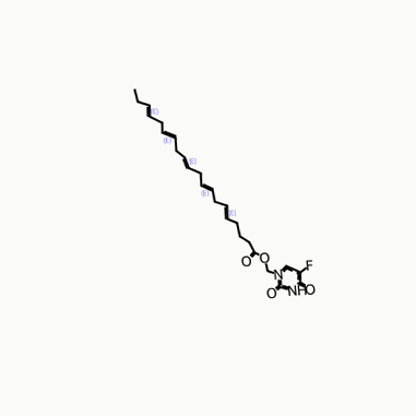 CC/C=C/C/C=C/C/C=C/C/C=C/C/C=C/CCCC(=O)OCn1cc(F)c(=O)[nH]c1=O